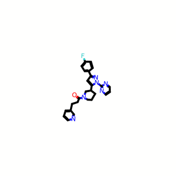 O=C(CCc1cccnc1)N1CCCC(c2cc(-c3ccc(F)cc3)nn2-c2ncccn2)C1